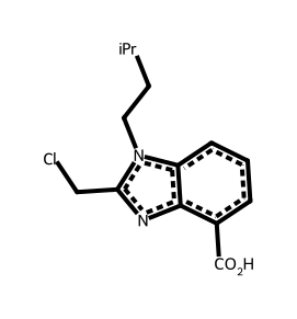 CC(C)CCn1c(CCl)nc2c(C(=O)O)cccc21